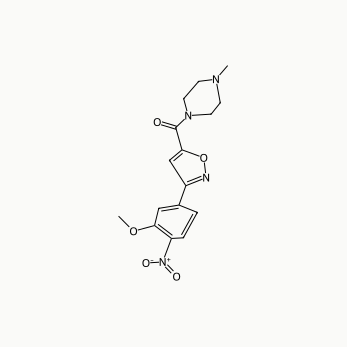 COc1cc(-c2cc(C(=O)N3CCN(C)CC3)on2)ccc1[N+](=O)[O-]